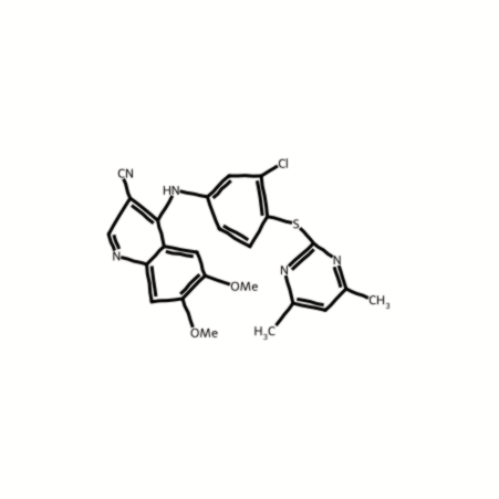 COc1cc2ncc(C#N)c(Nc3ccc(Sc4nc(C)cc(C)n4)c(Cl)c3)c2cc1OC